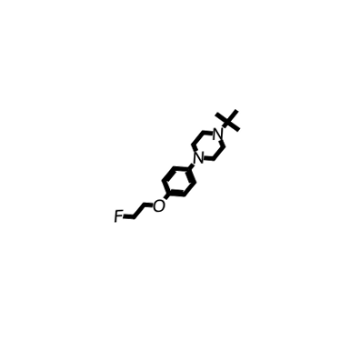 CC(C)(C)N1CCN(c2ccc(OCCF)cc2)CC1